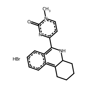 Br.Cn1ccc(C2=c3ccccc3=C3CCCCC3N2)nc1=O